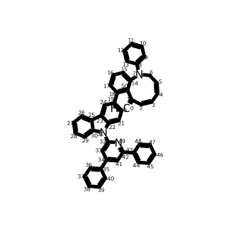 C=C1/C=C\C=C/CN(c2ccccc2)c2cccc(-c3ccc4c(c3)c3ccccc3n4-c3cc(-c4ccccc4)cc(-c4ccccc4)n3)c21